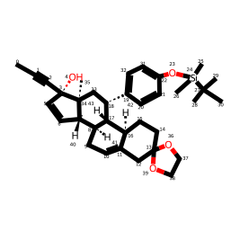 CC#C[C@]1(O)C=C[C@H]2[C@@H]3CC=C4CC5(CC[C@@H]4[C@H]3[C@@H](c3ccc(O[Si](C)(C)C(C)(C)C)cc3)C[C@@]21C)OCCO5